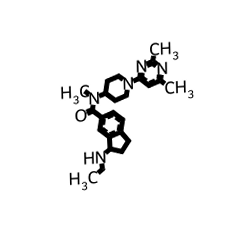 CCNC1CCc2ccc(C(=O)N(C)C3CCN(c4cc(C)nc(C)n4)CC3)cc21